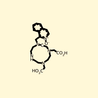 O=C(O)CN1CCNCCN(Cc2c3ccccc3cc[n+]2[O-])CCN(CC(=O)O)CC1